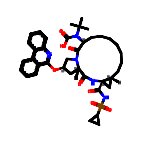 CC(C)(C)N(C(=O)O)[C@H]1CCCCCCC[C@@H]2C[C@@]2(C(=O)NS(=O)(=O)C2CC2)NC(=O)[C@@H]2C[C@@H](Oc3nc4ccccc4c4ccccc34)CN2C1=O